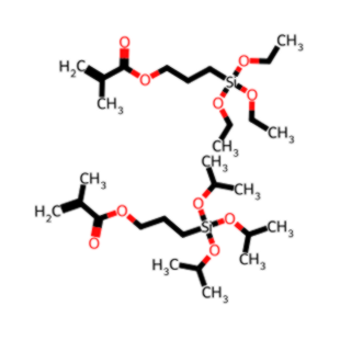 C=C(C)C(=O)OCCC[Si](OC(C)C)(OC(C)C)OC(C)C.C=C(C)C(=O)OCCC[Si](OCC)(OCC)OCC